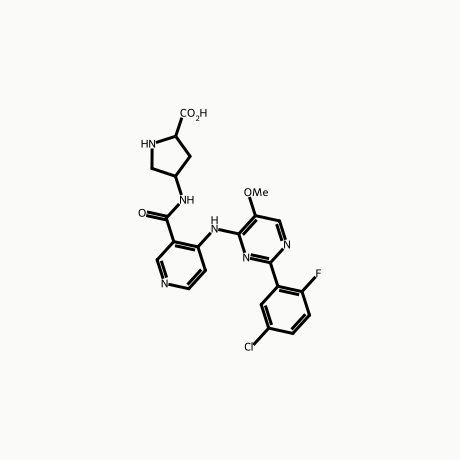 COc1cnc(-c2cc(Cl)ccc2F)nc1Nc1ccncc1C(=O)NC1CNC(C(=O)O)C1